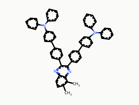 Cc1ccc2nc(-c3ccc(-c4ccc(N(c5ccccc5)c5ccccc5)cc4)cc3)c(-c3ccc(-c4ccc(N(c5ccccc5)c5ccccc5)cc4)cc3)nc2c1C